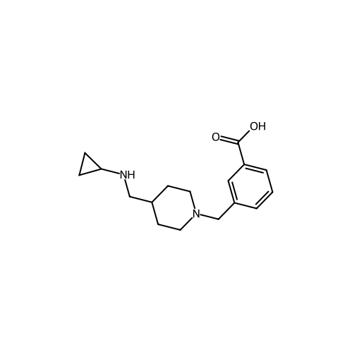 O=C(O)c1cccc(CN2CCC(CNC3CC3)CC2)c1